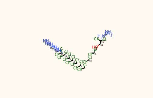 ClCCl.ClCCl.ClCCl.ClCCl.ClCCl.ClCCl.ClCCl.ClCCl.ClCCl.N.N.N.N.N.N.N.N.N.N.OCC(Cl)Cl